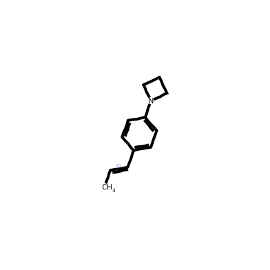 C/C=C/c1ccc(N2CCC2)cc1